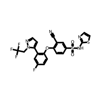 N#Cc1cc(S(=O)(=O)Nc2nccs2)ccc1Oc1ccc(F)cc1-c1ccnn1CC(F)(F)F